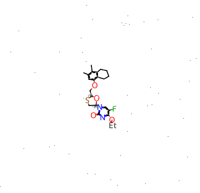 CCOc1nc(=O)n([C@H]2CS[C@@H](COc3cc(C)c(C)c4c3CCCC4)O2)cc1F